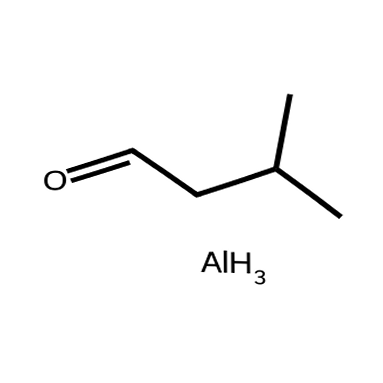 CC(C)CC=O.[AlH3]